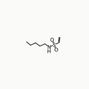 C=CS(=O)(=O)NCCCCC